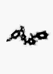 CC(=O)N1CCN(/C(N)=N\c2cc(C(C)c3cccc(C(=O)c4ccccc4)c3)no2)CC1